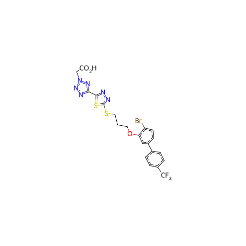 O=C(O)Cn1nnc(-c2nnc(SCCCOc3cc(-c4ccc(C(F)(F)F)cc4)ccc3Br)s2)n1